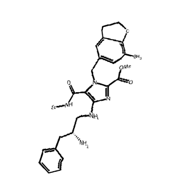 Bc1cc(Cn2c(C(=O)OC)nc(NC[C@H](N)Cc3ccccc3)c2C(=O)NCC)cc2c1OCC2